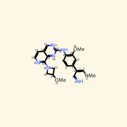 CN/C=C(\C=N)c1ccc(Nc2ncc3ccnc(N4CC(OC)C4)c3n2)c(OC)c1